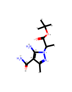 Cc1nn(C(C)C(=O)OC(C)(C)C)c(N)c1C(N)=O